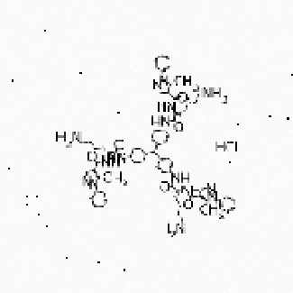 Cc1c(C(=O)N[C@H](CCCCN)C(=O)Nc2ccc(C(c3ccc(NC(=O)[C@@H](CCCCN)NC(=O)c4cnn(-c5ccccc5)c4C)cc3)c3ccc(NC(=O)[C@@H](CCCCN)NC(=O)c4cnn(-c5ccccc5)c4C)cc3)cc2)cnn1-c1ccccc1.Cl